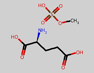 COS(=O)(=O)O.N[C@@H](CCC(=O)O)C(=O)O